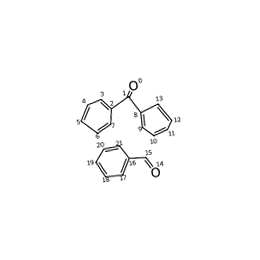 O=C(c1ccccc1)c1ccccc1.O=Cc1ccccc1